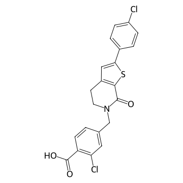 O=C(O)c1ccc(CN2CCc3cc(-c4ccc(Cl)cc4)sc3C2=O)cc1Cl